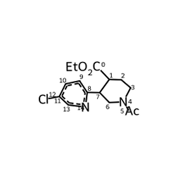 CCOC(=O)C1CCN(C(C)=O)CC1c1ccc(Cl)cn1